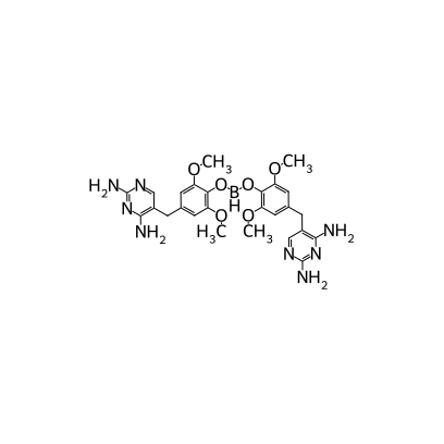 COc1cc(Cc2cnc(N)nc2N)cc(OC)c1OBOc1c(OC)cc(Cc2cnc(N)nc2N)cc1OC